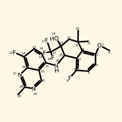 COc1ccc(F)c2c1C(C)(C)CC(O)(C(F)(F)F)C2Nc1ccc(F)c2nc(C)ncc12